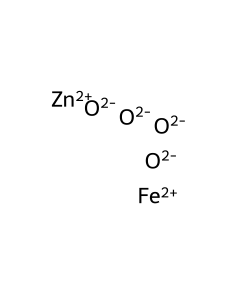 [Fe+2].[O-2].[O-2].[O-2].[O-2].[Zn+2]